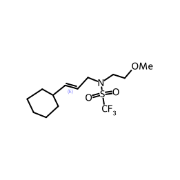 COCCN(C/C=C/C1CCCCC1)S(=O)(=O)C(F)(F)F